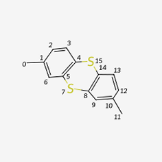 Cc1ccc2c(c1)Sc1cc(C)ccc1S2